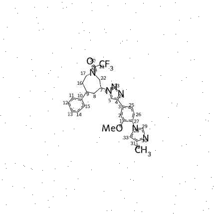 COc1cc(-c2cn(C3CC(c4ccccc4)CCN(C(=O)C(F)(F)F)C3)nn2)ccc1-n1cnc(C)c1